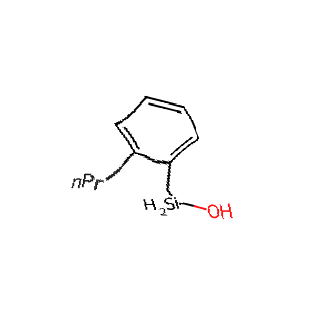 CCCc1ccccc1[SiH2]O